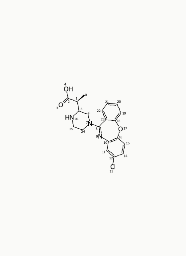 C[C@H](C(=O)O)C1CN(C2=Nc3cc(Cl)ccc3Oc3ccccc32)CCN1